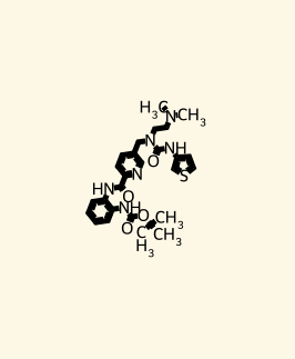 CN(C)CCN(Cc1ccc(C(=O)Nc2ccccc2NC(=O)OC(C)(C)C)nc1)C(=O)Nc1ccsc1